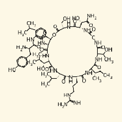 CC[C@H](C)C1NC(=O)[C@@H](CCCNC(=N)N)NC(=O)[C@H](CC(C)C)NC(=O)[C@H]([C@H](O)C(C)C)NC(=O)[C@@H](NC(=O)[C@@H](CC(C)C)NC(=O)[C@H](N)Cc2ccc(O)cc2)[C@@H](c2ccccc2)OC(=O)[C@H](CO)NC(=O)[C@H]([C@H](O)C(N)=O)NC(=O)CNC(=O)C([C@H](C)O)NC1=O